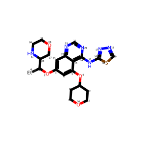 CCC(Oc1cc(OC2CCOCC2)c2c(Nc3nncs3)ncnc2c1)C1COCCN1